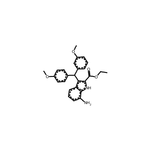 CCOC(=O)c1[nH]c2c(N)cccc2c1C(c1ccc(OC)cc1)c1cccc(OC)c1